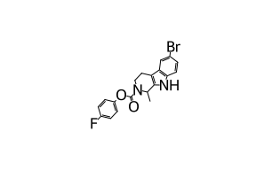 CC1c2[nH]c3ccc(Br)cc3c2CCN1C(=O)Oc1ccc(F)cc1